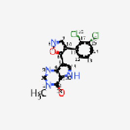 Cn1cnc2c(-c3oncc3-c3cccc(Cl)c3Cl)c[nH]c2c1=O